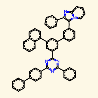 c1ccc(-c2ccc(-c3nc(-c4ccccc4)nc(-c4cc(-c5cccc(-c6c(-c7ccccc7)nc7ccccn67)c5)cc(-c5cccc6ccccc56)c4)n3)cc2)cc1